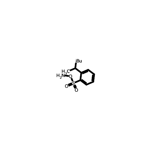 CCC(C)C(C)c1ccccc1S(=O)(=O)ON